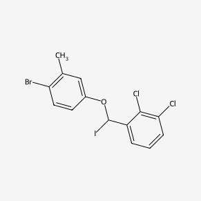 Cc1cc(OC(I)c2cccc(Cl)c2Cl)ccc1Br